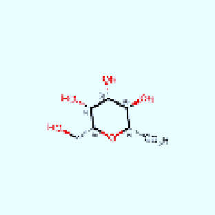 O=C(O)[C@@H]1O[C@H](CO)[C@H](O)[C@H](O)[C@H]1O